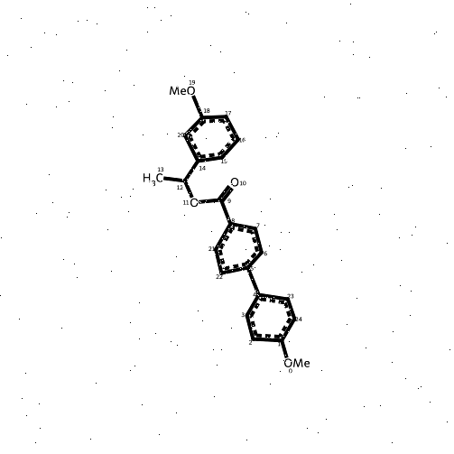 COc1ccc(-c2ccc(C(=O)OC(C)c3cccc(OC)c3)cc2)cc1